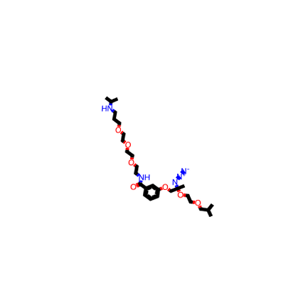 CC(C)COCCOC(C)(COc1cccc(C(=O)NCCOCCOCCOCCCNC(C)C)c1)N=[N+]=[N-]